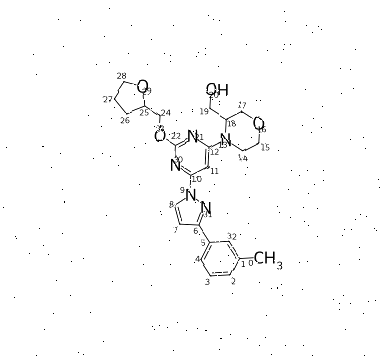 Cc1cccc(-c2ccn(-c3cc(N4CCOCC4CO)nc(OCC4CCCO4)n3)n2)c1